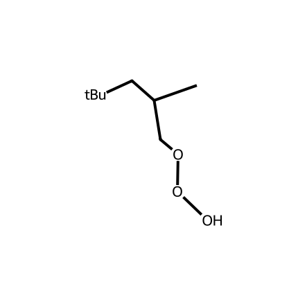 CC(COOO)CC(C)(C)C